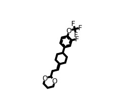 Fc1cc(C2CCC(=CCC3OCCCO3)CC2)ccc1OC(F)(F)F